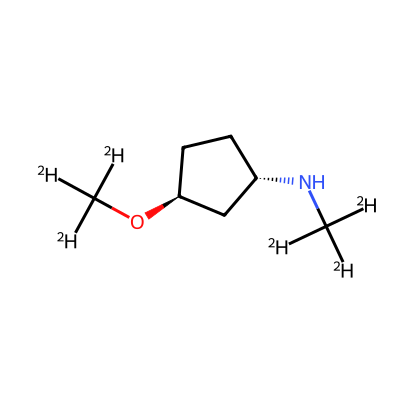 [2H]C([2H])([2H])N[C@H]1CC[C@H](OC([2H])([2H])[2H])C1